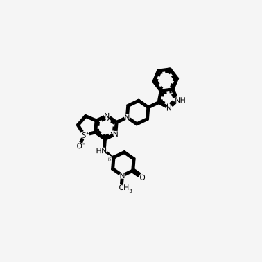 CN1C[C@@H](Nc2nc(N3CCC(c4n[nH]c5ccccc45)CC3)nc3c2[S+]([O-])CC3)CCC1=O